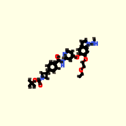 CCOCCOc1cc2c(ccn2NC)cc1Oc1ccnc(NC(=O)c2ccc(C3CN(C(=O)OC(C)(C)C)C3)cc2)c1